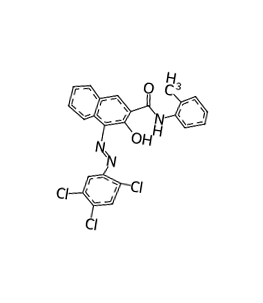 Cc1ccccc1NC(=O)c1cc2ccccc2c(/N=N/c2cc(Cl)c(Cl)cc2Cl)c1O